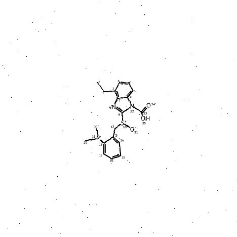 CCc1cccc2c1nc([S+]([O-])Cc1ccccc1N(C)C)n2C(=O)O